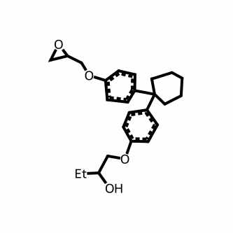 CCC(O)COc1ccc(C2(c3ccc(OCC4CO4)cc3)CCCCC2)cc1